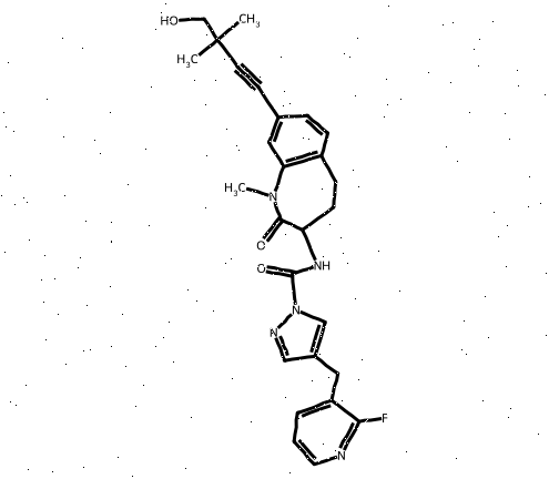 CN1C(=O)C(NC(=O)n2cc(Cc3cccnc3F)cn2)CCc2ccc(C#CC(C)(C)CO)cc21